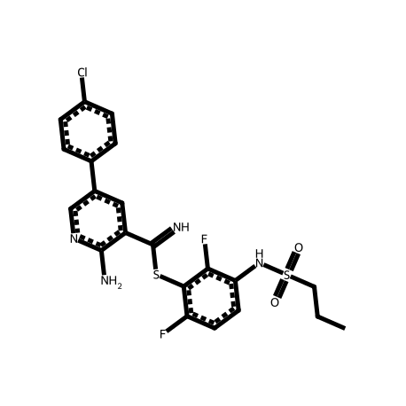 CCCS(=O)(=O)Nc1ccc(F)c(SC(=N)c2cc(-c3ccc(Cl)cc3)cnc2N)c1F